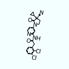 N#C[C@@]1(C2CC2)CCN(c2ccnc(NC(=O)Cc3cccc(Cl)c3Cl)c2)C1=O